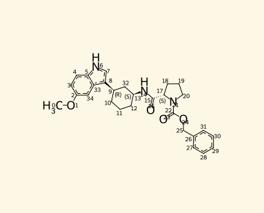 COc1ccc2[nH]cc([C@@H]3CCC[C@H](NC(=O)[C@@H]4CCCN4C(=O)OCc4ccccc4)C3)c2c1